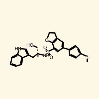 CSc1ccc(-c2cc3c(c(S(=O)(=O)N[C@@H](CO)Cc4c[nH]c5ccccc45)c2)OCC3)cc1